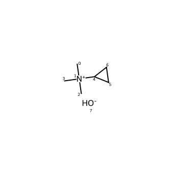 C[N+](C)(C)C1CC1.[OH-]